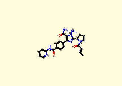 C/C=C/C(=O)N1CCC[C@H]1c1nc(-c2ccc(C(=O)Nc3ccccn3)cc2)c(C(N)=O)n1N